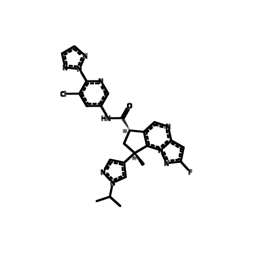 CC(C)n1cc([C@]2(C)C[C@H](C(=O)Nc3cnc(-n4nccn4)c(Cl)c3)c3cnc4cc(F)nn4c32)cn1